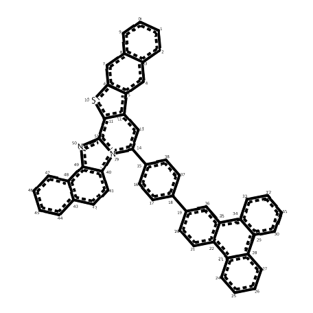 c1ccc2cc3c(cc2c1)sc1c3cc(-c2ccc(-c3ccc4c5ccccc5c5ccccc5c4c3)cc2)n2c3ccc4ccccc4c3nc12